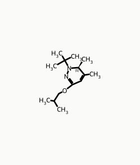 CC1=CC(OCC(C)C)=NN(C(C)(C)C)[C@H]1C